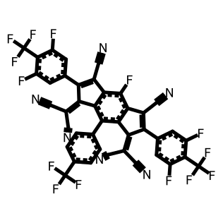 N#CC(C#N)=C1C(c2cc(F)c(C(F)(F)F)c(F)c2)=C(C#N)c2c(F)c3c(c(-c4ccc(C(F)(F)F)cc4)c21)C(=C(C#N)C#N)C(c1cc(F)c(C(F)(F)F)c(F)c1)=C3C#N